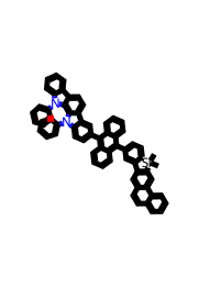 C[Si]1(C)c2ccc(-c3c4ccccc4c(-c4ccc5c(c4)c4ccc6c7ccccc7n(-c7ccccc7)c6c4n5-c4ccccc4)c4ccccc34)cc2-c2cc3ccc4ccccc4c3cc21